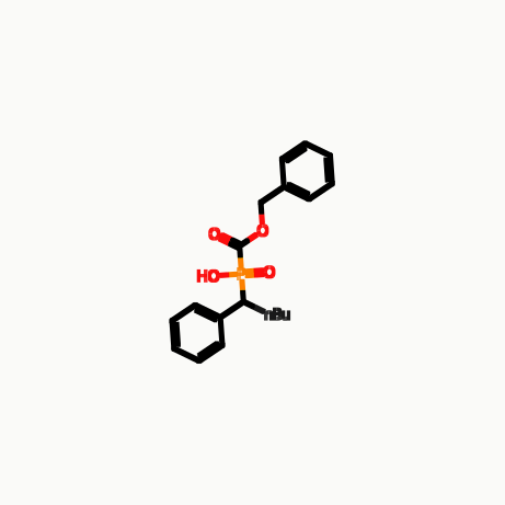 CCCCC(c1ccccc1)P(=O)(O)C(=O)OCc1ccccc1